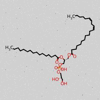 CCCCC/C=C\C/C=C\CCCCCCCCCC(=O)OC[C@H](COP(=O)(O)OC[C@@H](O)CO)OC(=O)CCCCCCCCCCCCCCC